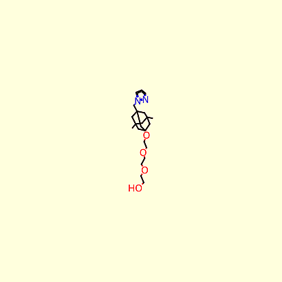 CC12CC3(C)CC(Cn4cccn4)(C1)CC(OCCOCCOCCO)(C2)C3